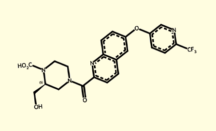 O=C(c1ccc2cc(Oc3ccc(C(F)(F)F)nc3)ccc2n1)N1CCN(C(=O)O)[C@H](CO)C1